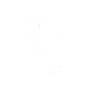 O=C(O)Cc1ccccc1NC(=O)c1cc(O)cc(S(=O)(=O)O)c1O